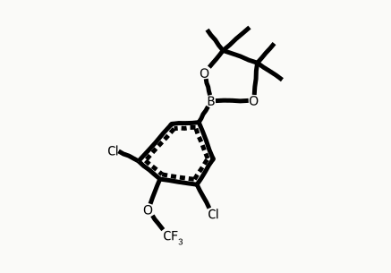 CC1(C)OB(c2cc(Cl)c(OC(F)(F)F)c(Cl)c2)OC1(C)C